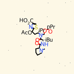 CCCC(=O)OCN(C(=O)[C@@H](NC(=O)C1CCCCN1C)[C@@H](C)CC)[C@H](C[C@@H](OC(C)=O)c1nc(C(=O)O)cs1)C(C)C